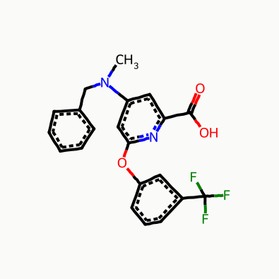 CN(Cc1ccccc1)c1cc(Oc2cccc(C(F)(F)F)c2)nc(C(=O)O)c1